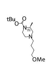 COCCCCN1CCN(C(=O)OC(C)(C)C)[C@@H](C)C1